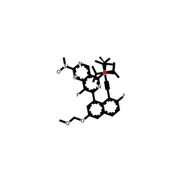 COCOc1cc(-c2nc(N3CC[C@@H]3C)c3cnc([S+](C)[O-])nc3c2F)c2c(C#C[Si](C(C)C)(C(C)C)C(C)C)c(F)ccc2c1